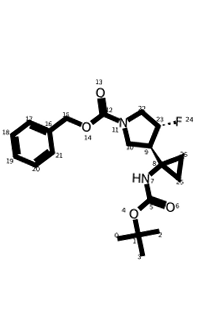 CC(C)(C)OC(=O)NC1([C@H]2CN(C(=O)OCc3ccccc3)C[C@@H]2F)CC1